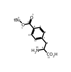 CC(C)(C)OC(=O)c1ccc(CC(N)C(=O)O)cc1